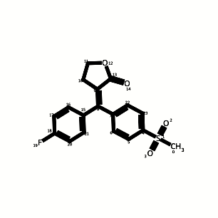 CS(=O)(=O)c1ccc(/C(=C2/CCOC2=O)c2ccc(F)cc2)cc1